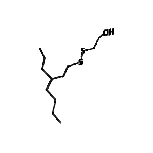 CCCCC(CCC)CCSSCCO